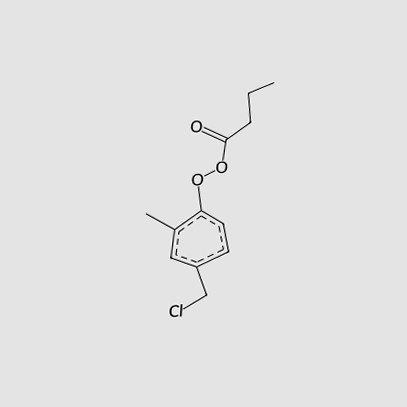 CCCC(=O)OOc1ccc(CCl)cc1C